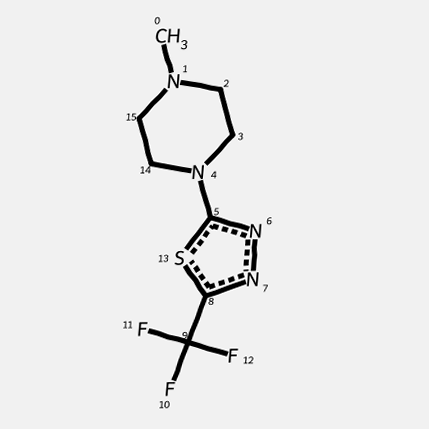 CN1CCN(c2nnc(C(F)(F)F)s2)CC1